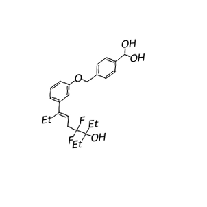 CCC(=CCC(F)(F)C(O)(CC)CC)c1cccc(OCc2ccc(C(O)O)cc2)c1